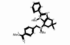 CCCCN(Cc1ccc(C(=O)OC)cc1)C1CC(C)(C)Cc2nc(-c3ccccc3)n(CCCC)c21